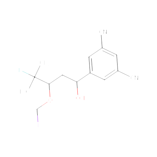 N#Cc1cc(C#N)cc(C(O)CC(OCI)C(F)(C(F)(F)F)C(F)(F)F)c1